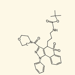 CC(C)(C)OC(=O)NCCCC1c2c(C(=O)N3CCOCC3)nn(-c3ccccc3)c2-c2ccccc2S1(=O)=O